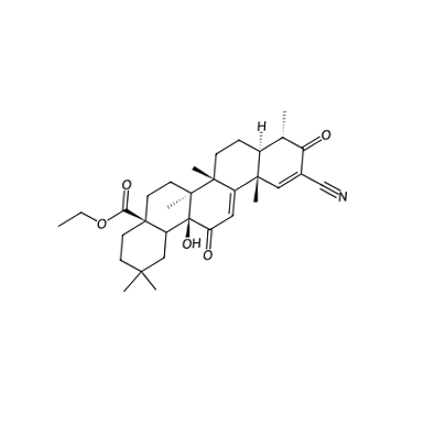 CCOC(=O)[C@]12CCC(C)(C)CC1[C@@]1(O)C(=O)C=C3[C@@]4(C)C=C(C#N)C(=O)[C@@H](C)[C@@H]4CC[C@@]3(C)[C@]1(C)CC2